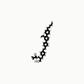 C=C(C)C(=O)OCC(CO)Cc1ccc(CCc2ccc(-c3ccc(-c4ccc(CCCCC)cc4)c(CC)c3)cc2)cc1